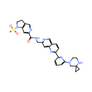 CS(=O)(=O)N1CCc2cnc(C(=O)NCc3cc4nc(-c5cccc(N6CCNC7(CC7)C6)n5)ccc4cn3)cc21